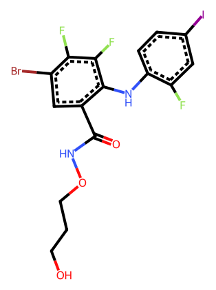 O=C(NOCCCO)c1cc(Br)c(F)c(F)c1Nc1ccc(I)cc1F